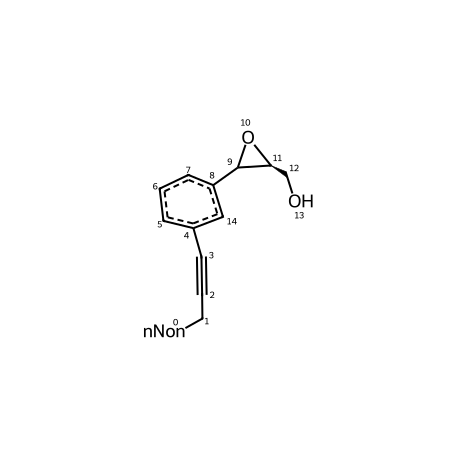 CCCCCCCCCCC#Cc1cccc(C2O[C@H]2CO)c1